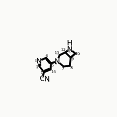 N#Cc1cncc(N2CCC3CNC3C2)c1